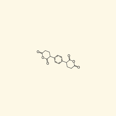 O=C1CCC(c2ccc(C3CCC(=O)OC3=O)cc2)C(=O)O1